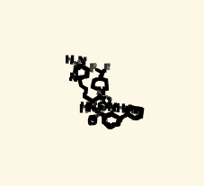 CC(=O)Nc1c(-c2ccccc2)cccc1S(=O)(=O)NC(CCCc1ccc(N)cn1)C(=O)N1CCC(=C(F)F)CC1